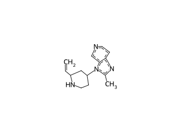 C=CC1CC(n2c(C)nc3ccncc32)CCN1